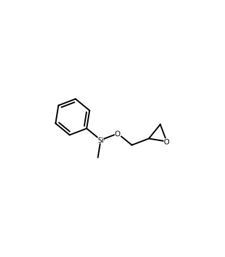 C[Si](OCC1CO1)c1ccccc1